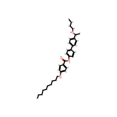 CCCCCCCCCCOc1ccc(C(=O)Oc2ccc(-c3ccc(C(C)OCCCC)cc3)cc2)cc1